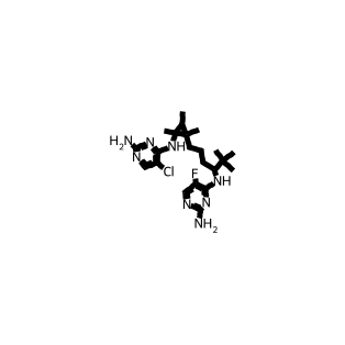 CC1C(C)(CCCC(Nc2nc(N)ncc2F)C(C)(C)C)C1(C)Nc1nc(N)ncc1Cl